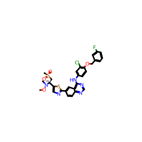 CON(C)[C@@H](CS(C)(=O)=O)c1cnc(-c2ccc3ncnc(Nc4ccc(OCc5cccc(F)c5)c(Cl)c4)c3c2)s1